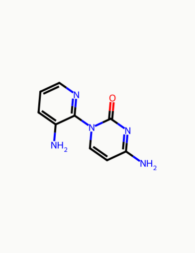 Nc1ccn(-c2ncccc2N)c(=O)n1